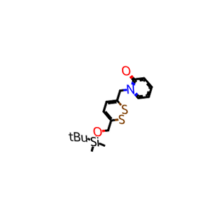 CC(C)(C)[Si](C)(C)OCC1=CC=C(Cn2ccccc2=O)SS1